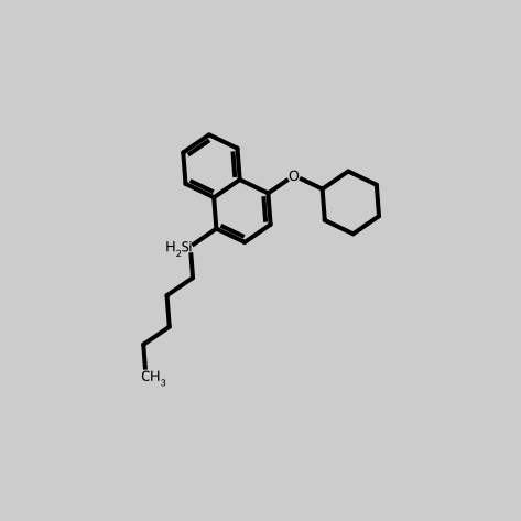 CCCCC[SiH2]c1ccc(OC2CCCCC2)c2ccccc12